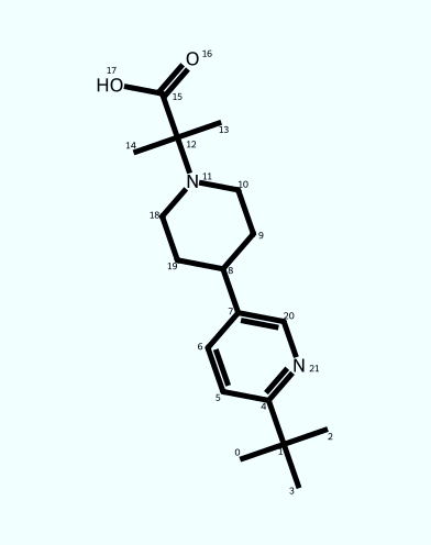 CC(C)(C)c1ccc(C2CCN(C(C)(C)C(=O)O)CC2)cn1